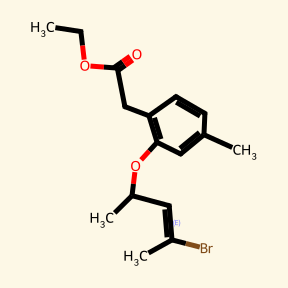 CCOC(=O)Cc1ccc(C)cc1OC(C)/C=C(\C)Br